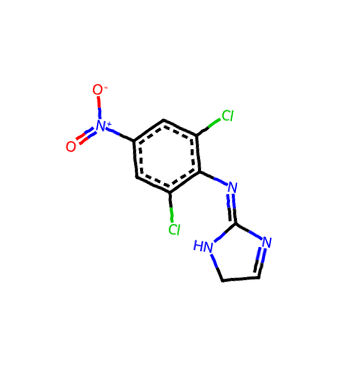 O=[N+]([O-])c1cc(Cl)c(N=C2N=CCN2)c(Cl)c1